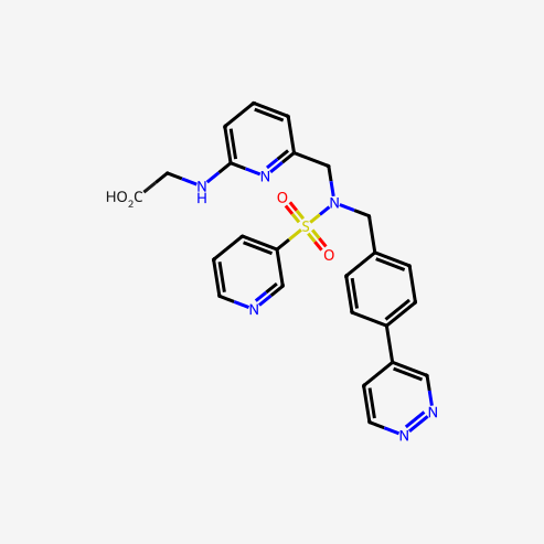 O=C(O)CNc1cccc(CN(Cc2ccc(-c3ccnnc3)cc2)S(=O)(=O)c2cccnc2)n1